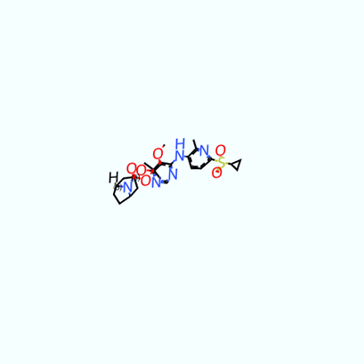 COc1c(Nc2ccc(S(=O)(=O)C3CC3)nc2C)ncnc1O[C@H]1CC2CC[C@@H](C1)N2C(=O)OC(C)(C)C